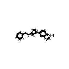 c1ccc(CCc2ncc(-c3ccc4[nH]cnc4c3)s2)cc1